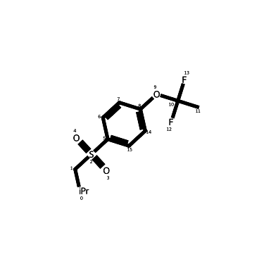 CC(C)CS(=O)(=O)c1ccc(OC(C)(F)F)cc1